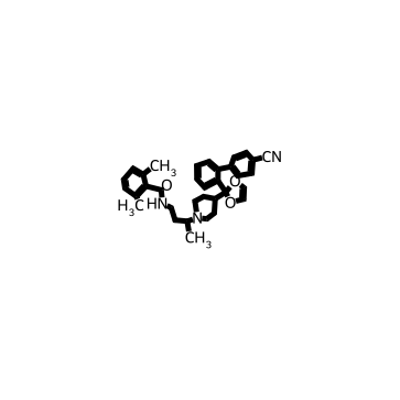 Cc1cccc(C)c1C(=O)NCCC(C)N1CCC(C2(c3ccccc3-c3ccc(C#N)cc3)OC=CO2)CC1